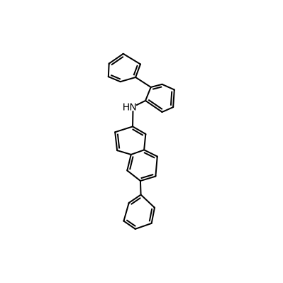 c1ccc(-c2ccc3cc(Nc4ccccc4-c4ccccc4)ccc3c2)cc1